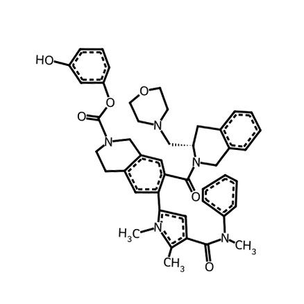 Cc1c(C(=O)N(C)c2ccccc2)cc(-c2cc3c(cc2C(=O)N2Cc4ccccc4C[C@H]2CN2CCOCC2)CN(C(=O)Oc2cccc(O)c2)CC3)n1C